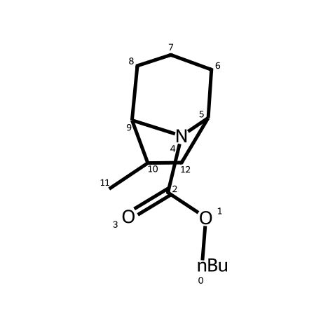 CCCCOC(=O)N1C2CCCC1C(C)C2